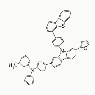 CC1C=CC=C(N(c2ccccc2)c2ccc(-c3ccc4c5ccc(-c6ccco6)cc5n(-c5ccc(-c6cccc7c6sc6ccccc67)cc5)c4c3)cc2)C1